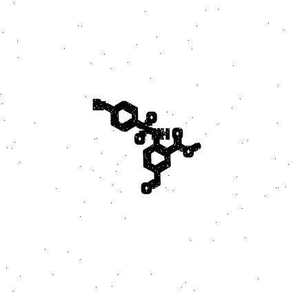 COC(=O)c1cc(C=O)ccc1NS(=O)(=O)c1ccc(Br)cc1